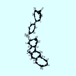 c1ccc(-c2ccc(Nc3ccc4c(c3)sc3cc5ccccc5cc34)cc2)cc1